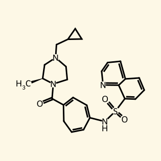 C[C@H]1CN(CC2CC2)CCN1C(=O)C1=CC=C(NS(=O)(=O)c2cccc3cccnc23)C=CC1